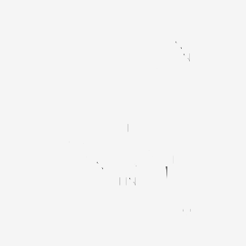 Cn1cc(-c2ccc(Cc3cc(C(=O)N[C@H]4CCOC[C@@H]4O)nc4ccsc34)c(F)c2)cn1